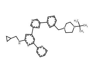 CC(C)(C)N1CCN(Cc2cccc(-c3cncc(-c4cc(NCC5CC5)nc(-c5ccccn5)c4)c3)c2)CC1